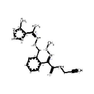 C#CCNC(=O)/C(=N/OC)c1ccccc1CO/N=C(/C)c1nnsc1C